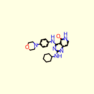 O=c1[nH]ccc2nc(NC3CCCCC3)nc(Nc3ccc(N4CCOCC4)cc3)c12